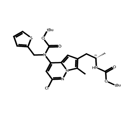 Cc1c(C[C@H](C)NC(=O)OC(C)(C)C)cc2c(N(Cc3cccs3)C(=O)OC(C)(C)C)cc(Cl)nn12